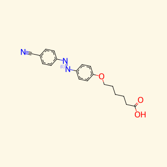 N#Cc1ccc(/N=N/c2ccc(OCCCCCC(=O)O)cc2)cc1